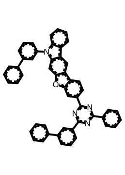 c1ccc(-c2cccc(-c3nc(-c4ccccc4)nc(-c4ccc5c(c4)oc4cc6c(cc45)c4ccccc4n6-c4cccc(-c5ccccc5)c4)n3)c2)cc1